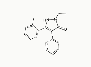 CCn1[nH]c(-c2ccccc2C)c(-c2ccccc2)c1=O